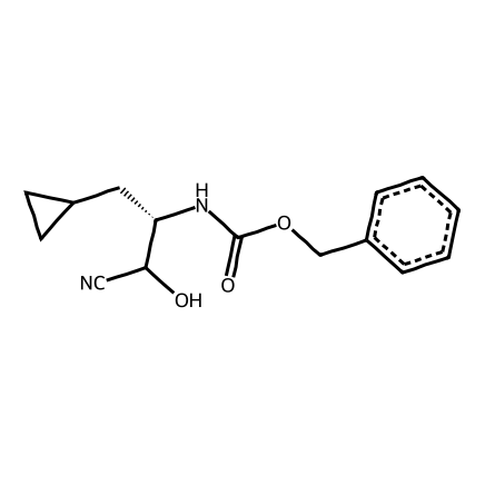 N#CC(O)[C@H](CC1CC1)NC(=O)OCc1ccccc1